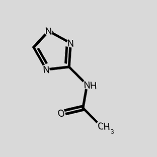 CC(=O)NC1=N[N]C=N1